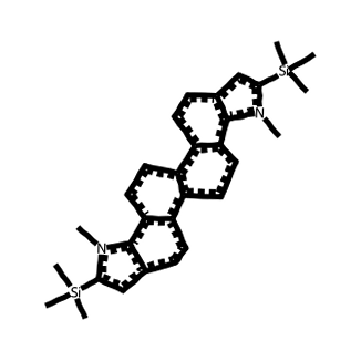 Cn1c([Si](C)(C)C)cc2ccc3c4ccc5c(ccc6cc([Si](C)(C)C)n(C)c65)c4ccc3c21